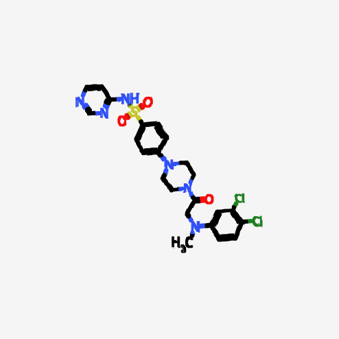 CN(CC(=O)N1CCN(c2ccc(S(=O)(=O)Nc3ccncn3)cc2)CC1)c1ccc(Cl)c(Cl)c1